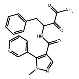 Cn1ncc(C(=O)NC(Cc2ccccc2)C(=O)C(N)=O)c1-c1cccnc1